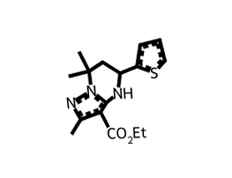 CCOC(=O)c1c(C)nn2c1NC(c1cccs1)CC2(C)C